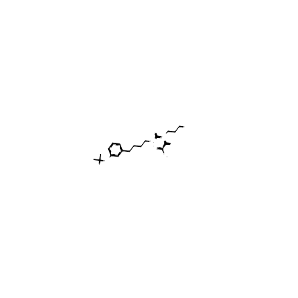 CCCCCCc1nn(CCCCc2cccc(OC(C)(C)C(=O)OCC)c2)c(=O)n(CCCC(=O)OCC)c1=O